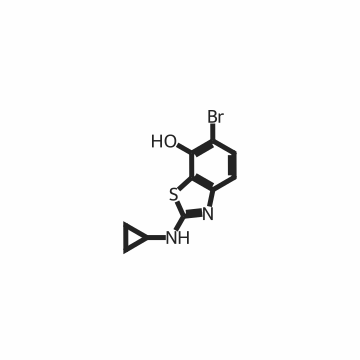 Oc1c(Br)ccc2nc(NC3CC3)sc12